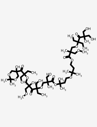 CCC(CC)(OCC(C)(COC)C(=O)OCCC(C)(C)OCCC(C)(C)OC(=O)C(C)(CO)COC(CC)(CC)C(=O)C(C)(COC)COC(CC)(CC)C(=O)C1(C)COC(C)(C)OC1)C(=O)C(C)(CO)CO